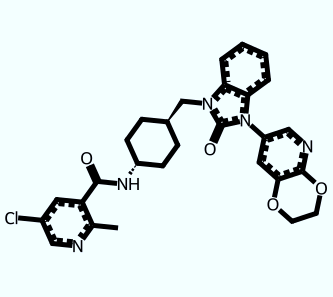 Cc1ncc(Cl)cc1C(=O)N[C@H]1CC[C@H](Cn2c(=O)n(-c3cnc4c(c3)OCCO4)c3ccccc32)CC1